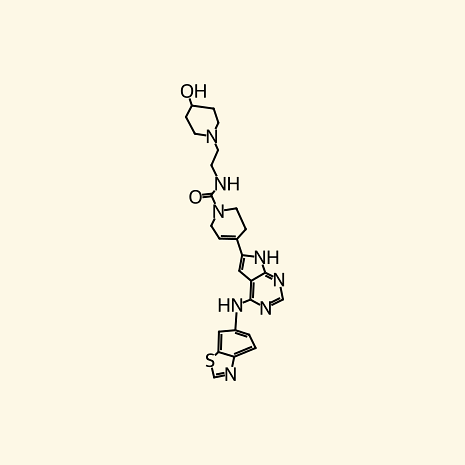 O=C(NCCN1CCC(O)CC1)N1CC=C(c2cc3c(Nc4ccc5ncsc5c4)ncnc3[nH]2)CC1